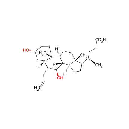 C=CC[C@H]1[C@H](O)[C@@H]2[C@H](CC[C@]3(C)[C@@H]([C@H](C)CCC(=O)O)CC[C@@H]23)[C@@]2(C)CC[C@@H](O)C[C@@H]12